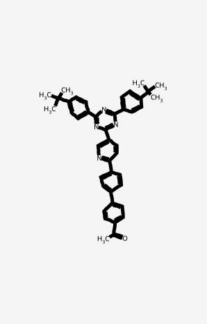 CC(=O)c1ccc(-c2ccc(-c3ccc(-c4nc(-c5ccc(C(C)(C)C)cc5)nc(-c5ccc(C(C)(C)C)cc5)n4)cn3)cc2)cc1